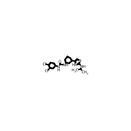 CC(C)Nc1ncc(-c2cccc(NC(=O)Nc3ccc(Cl)c(Cl)c3)c2)[nH]1